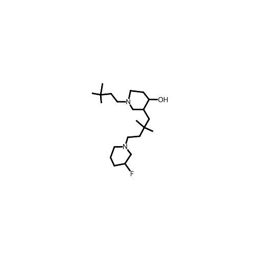 CC(C)(C)CCN1CCC(O)C(CC(C)(C)CCN2CCCC(F)C2)C1